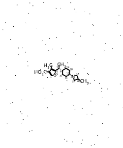 Cc1c(C(=O)O)csc1C(C)[C@H]1CC[C@H](N2CC(C)C2)CC1